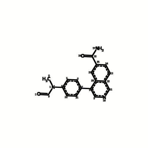 CN(C=O)c1ccc(-c2cncc3ccc(C(N)=O)cc23)cc1